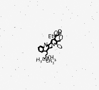 CC[C@@]1(O)C(=O)OCc2c1cc1n(c2=O)Cc2c-1nc1ccccc1c2CCS(C)(C)C